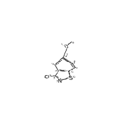 COc1ccc2snc(Cl)c2c1